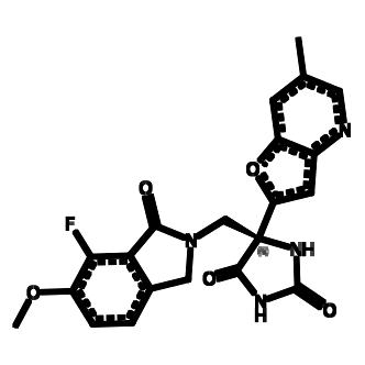 COc1ccc2c(c1F)C(=O)N(C[C@@]1(c3cc4ncc(C)cc4o3)NC(=O)NC1=O)C2